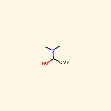 COC(O)N(C)C